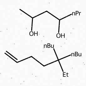 C=CCCC(CC)(CCCC)CCCC.CCCC(O)CC(C)O